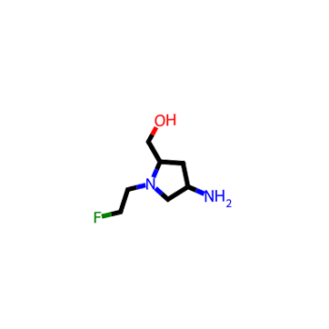 NC1CC(CO)N(CCF)C1